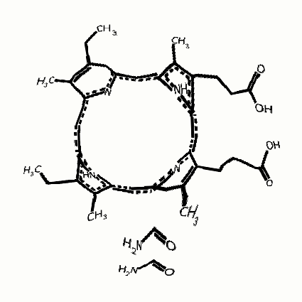 CCC1=C(C)c2cc3[nH]c(cc4nc(cc5[nH]c(cc1n2)c(C)c5CCC(=O)O)C(CCC(=O)O)=C4C)c(C)c3CC.NC=O.NC=O